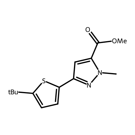 COC(=O)c1cc(-c2ccc(C(C)(C)C)s2)nn1C